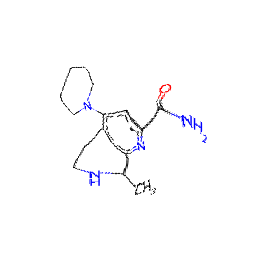 CC1NCCc2c(N3CCCCC3)cc(C(N)=O)nc21